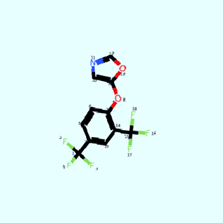 FC(F)(F)c1ccc(Oc2cn[c]o2)c(C(F)(F)F)c1